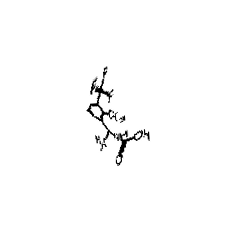 Cc1c(C(C)NC(=O)O)cccc1C(F)(F)F